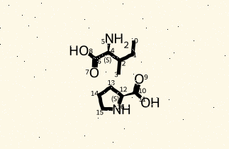 CCC(C)[C@H](N)C(=O)O.O=C(O)[C@@H]1CCCN1